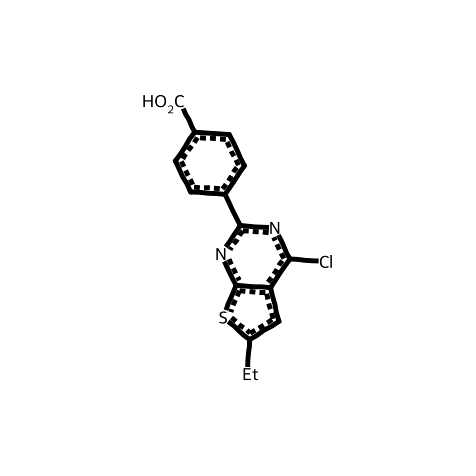 CCc1cc2c(Cl)nc(-c3ccc(C(=O)O)cc3)nc2s1